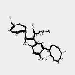 Bc1cc2oc(-c3ccc(F)cc3)c(C(=O)NC)c2cc1C1CCCCCCC1